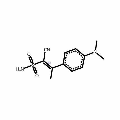 C/C(=C(/C#N)S(N)(=O)=O)c1ccc(N(C)C)cc1